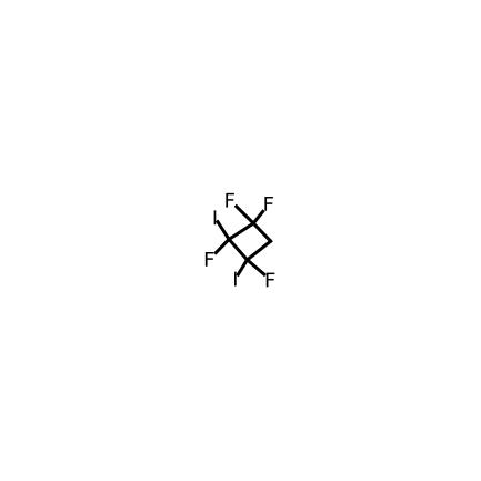 FC1(F)CC(F)(I)C1(F)I